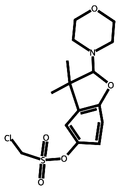 CC1(C)c2cc(OS(=O)(=O)CCl)ccc2OC1N1CCOCC1